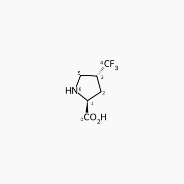 O=C(O)[C@@H]1C[C@@H](C(F)(F)F)CN1